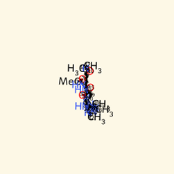 COC(=O)NC(CC/C=C/C(=O)N(C)C)C(=O)Nc1cccn(Cc2nc3c(N(C)C)nc(C)nc3[nH]2)c1=O